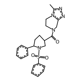 Cc1nnc2n1CCN(C(=O)C1CCC(c3ccccc3)N(S(=O)(=O)c3ccccc3)C1)C2